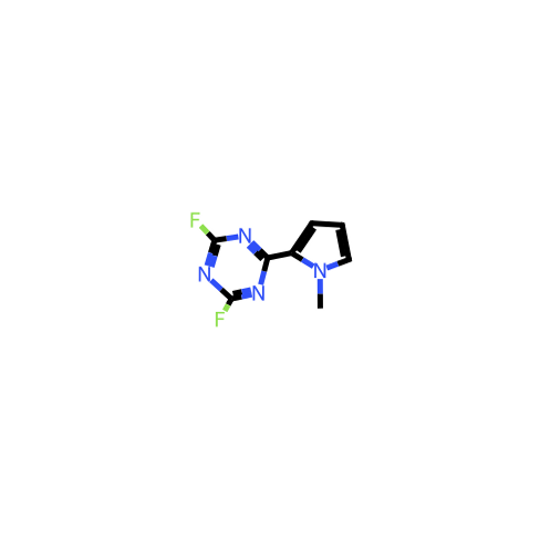 Cn1cccc1-c1nc(F)nc(F)n1